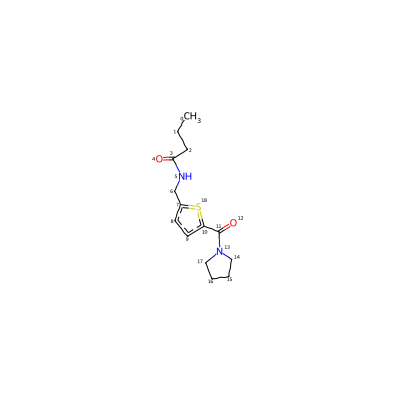 CCCC(=O)NCc1ccc(C(=O)N2CCCC2)s1